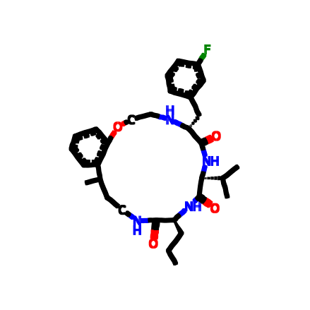 CCC[C@@H]1NC(=O)[C@@H](C(C)C)NC(=O)[C@@H](Cc2cccc(F)c2)NCCOc2ccccc2C(C)CCNC1=O